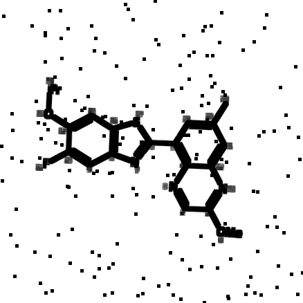 COc1cnc2c(-c3nc4cc(F)c(OC(C)C)cc4s3)cc(C)cc2n1